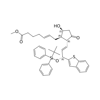 COC(=O)CCCC=CC[C@H]1[C@@H](O)CC(=O)[C@@H]1C=C[C@@H](O[Si](c1ccccc1)(c1ccccc1)C(C)(C)C)c1cc2ccccc2s1